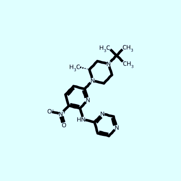 C[C@@H]1CN(C(C)(C)C)CCN1c1ccc([N+](=O)[O-])c(Nc2ccncn2)n1